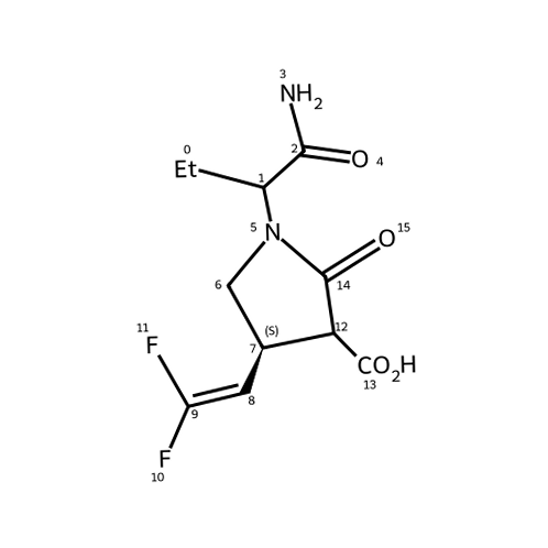 CCC(C(N)=O)N1C[C@H](C=C(F)F)C(C(=O)O)C1=O